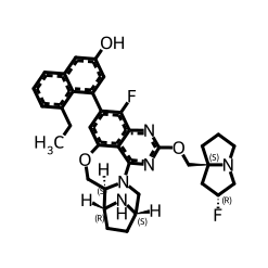 CCc1cccc2cc(O)cc(-c3cc4c5c(nc(OC[C@@]67CCCN6C[C@H](F)C7)nc5c3F)N3C[C@@H]5CC[C@@H](N5)[C@H]3CO4)c12